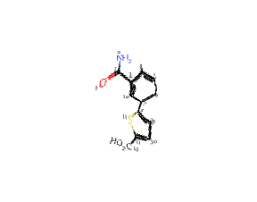 NC(=O)c1cccc(-c2ccc(C(=O)O)s2)c1